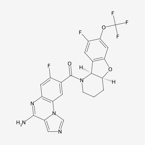 Nc1nc2cc(F)c(C(=O)N3CCC[C@@H]4Oc5cc(OC(F)(F)F)c(F)cc5[C@@H]43)cc2n2cncc12